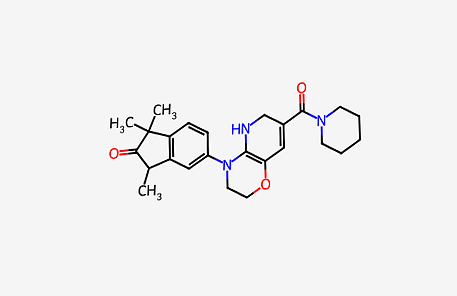 CC1C(=O)C(C)(C)c2ccc(N3CCOC4=C3NCC(C(=O)N3CCCCC3)=C4)cc21